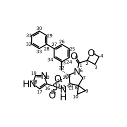 O=C(C1CCO1)N1CC2(CC2)[C@H](NS(=O)(=O)c2c[nH]cn2)[C@@H]1Cc1cccc(-c2ccccc2)c1